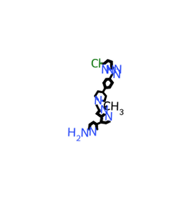 Cn1c(CN2CCC(c3ccc(-c4nnc5ccc(Cl)nn45)cc3)CC2)cc2c(-c3ccc(N)nc3)ccnc21